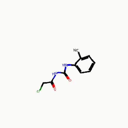 N#Cc1ccccc1NC(=O)NC(=O)CCl